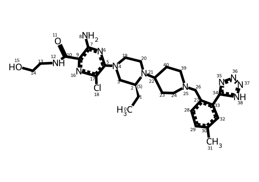 CC[C@H]1CN(c2nc(N)c(C(=O)NCCO)nc2Cl)CCN1C1CCN(Cc2ccc(C)cc2-c2nnn[nH]2)CC1